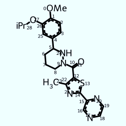 COc1ccc(C2CCCN(C(=O)c3sc(-c4cnccn4)nc3C)N2)cc1OC(C)C